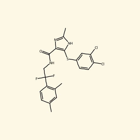 Cc1ccc(C(F)(F)CNC(=O)c2nc(C)[nH]c2Sc2ccc(Cl)c(Cl)c2)c(C)c1